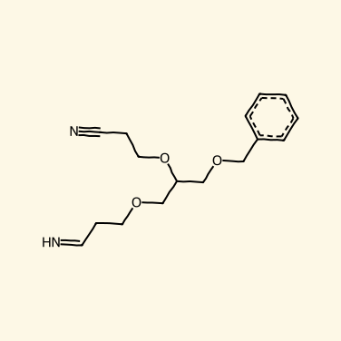 N#CCCOC(COCCC=N)COCc1ccccc1